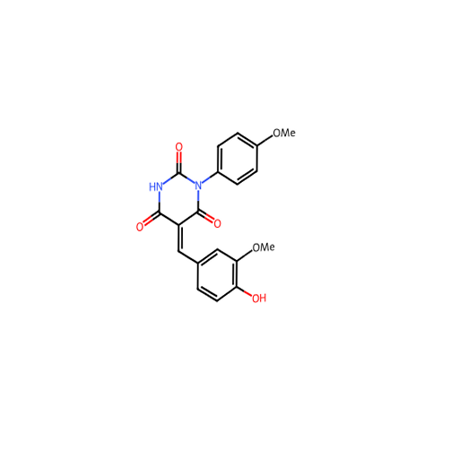 COc1ccc(N2C(=O)NC(=O)/C(=C/c3ccc(O)c(OC)c3)C2=O)cc1